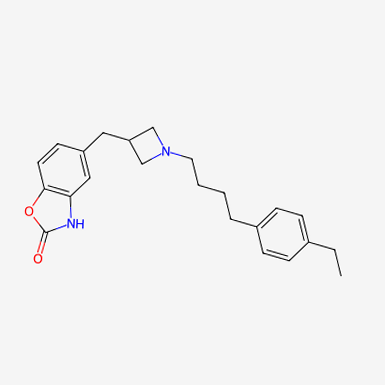 CCc1ccc(CCCCN2CC(Cc3ccc4oc(=O)[nH]c4c3)C2)cc1